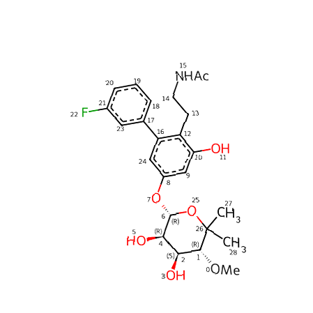 CO[C@@H]1[C@@H](O)[C@@H](O)[C@H](Oc2cc(O)c(CCNC(C)=O)c(-c3cccc(F)c3)c2)OC1(C)C